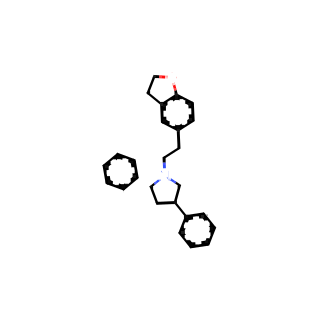 [c]1ccccc1.[c]1ccccc1C1CCN(CCc2ccc3c(c2)CCO3)C1